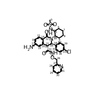 CS(=O)(=O)N[C@H]1CCCC[C@@H]1N1C(=O)c2ccc(N)cc2[C@@H](C(=O)NOCc2ccccn2)[C@@H]1c1ccc(Cl)cc1